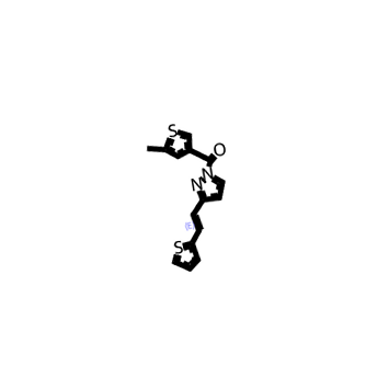 Cc1cc(C(=O)n2ccc(/C=C/c3cccs3)n2)cs1